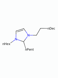 CCCCCCCCCCCCN1C=CN(CCCCCC)C1CCCCC